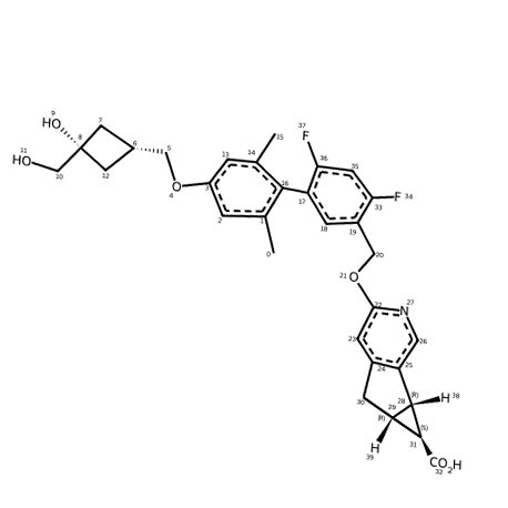 Cc1cc(OC[C@H]2C[C@](O)(CO)C2)cc(C)c1-c1cc(COc2cc3c(cn2)[C@H]2[C@H]4C3[C@@]42C(=O)O)c(F)cc1F